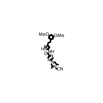 COc1cc(CCc2cc(NC(=O)c3cnc(N4CC(C)N(CC#N)C(C)C4)cn3)[nH]n2)cc(OC)c1